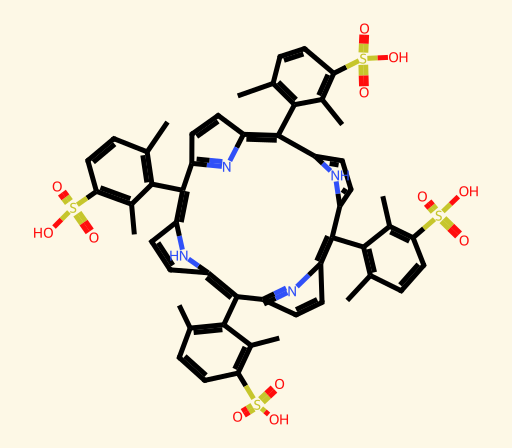 Cc1ccc(S(=O)(=O)O)c(C)c1-c1c2nc(c(-c3c(C)ccc(S(=O)(=O)O)c3C)c3ccc([nH]3)c(-c3c(C)ccc(S(=O)(=O)O)c3C)c3nc(c(-c4c(C)ccc(S(=O)(=O)O)c4C)c4ccc1[nH]4)C=C3)C=C2